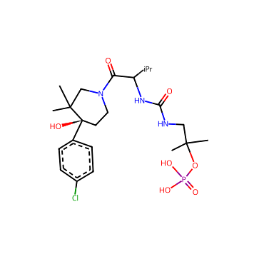 CC(C)C(NC(=O)NCC(C)(C)OP(=O)(O)O)C(=O)N1CC[C@](O)(c2ccc(Cl)cc2)C(C)(C)C1